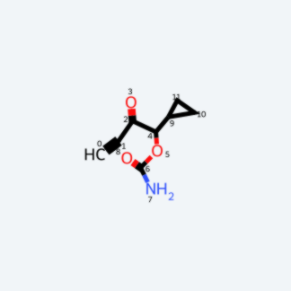 C#CC(=O)C(OC(N)=O)C1CC1